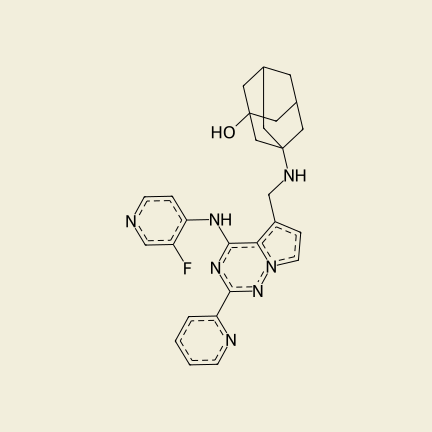 OC12CC3CC(C1)CC(NCc1ccn4nc(-c5ccccn5)nc(Nc5ccncc5F)c14)(C3)C2